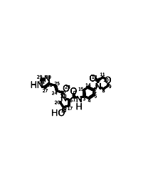 O=C(Nc1ccc(N2CCOCC2=O)cc1)[C@H]1C[C@@H](O)CN1C(=O)C=Cc1c[nH]cn1